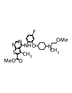 COCCN(C)C1CCC(Oc2cc(F)ccc2Nc2ncnc3sc(C(=O)OC)c(C)c23)CC1